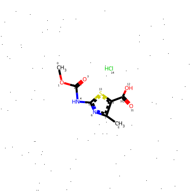 COC(=O)Nc1nc(C)c(C(=O)O)s1.Cl